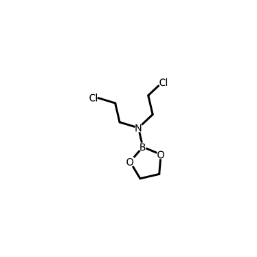 ClCCN(CCCl)B1OCCO1